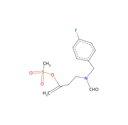 C=C(CCN(C=O)Cc1ccc(F)cc1)OS(C)(=O)=O